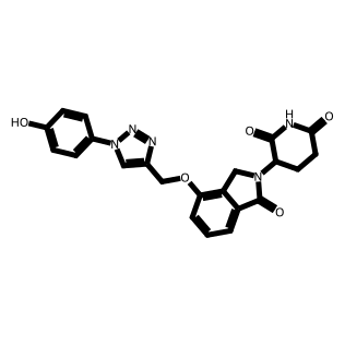 O=C1CCC(N2Cc3c(OCc4cn(-c5ccc(O)cc5)nn4)cccc3C2=O)C(=O)N1